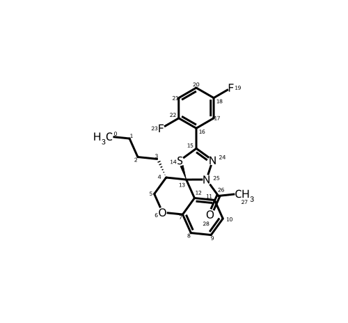 CCCC[C@H]1COc2ccccc2[C@]12SC(c1cc(F)ccc1F)=NN2C(C)=O